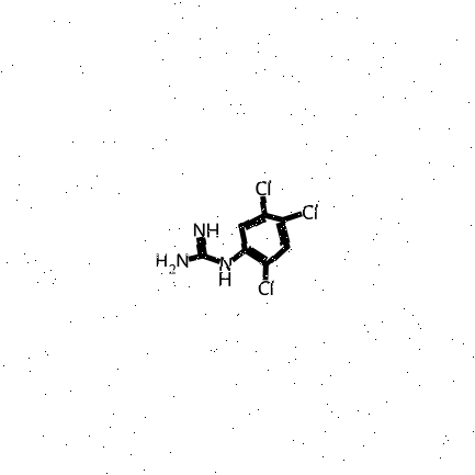 N=C(N)Nc1cc(Cl)c(Cl)cc1Cl